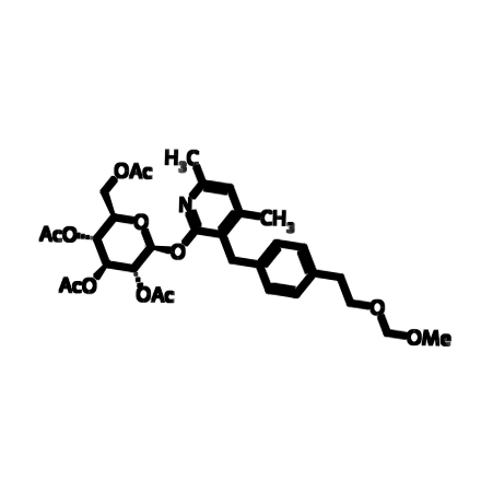 COCOCCc1ccc(Cc2c(C)cc(C)nc2O[C@@H]2O[C@H](COC(C)=O)[C@@H](OC(C)=O)[C@H](OC(C)=O)[C@H]2OC(C)=O)cc1